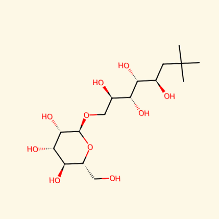 CC(C)(C)C[C@@H](O)[C@@H](O)[C@H](O)[C@H](O)CO[C@H]1O[C@H](CO)[C@@H](O)[C@H](O)[C@@H]1O